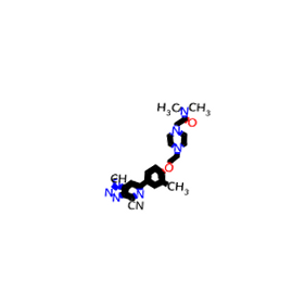 Cc1cc(-c2cc3c(nnn3C)c(C#N)n2)ccc1OCCN1CCN(CC(=O)N(C)C)CC1